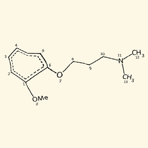 COc1ccccc1OCCCN(C)C